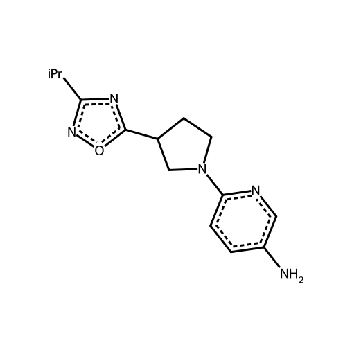 CC(C)c1noc(C2CCN(c3ccc(N)cn3)C2)n1